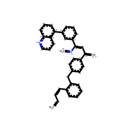 C=C/C=C\c1ccccc1Cc1ccc(C(=C)/C=C(\N=C)c2cccc(-c3cccc4ncccc34)c2)cc1